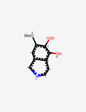 COc1cc2cnccc2c(O)c1O